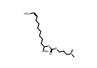 CCCCCCCC/C=C\CCCCCCCC(CCCCCCCCCC)OC(=O)OCCCN(C)C